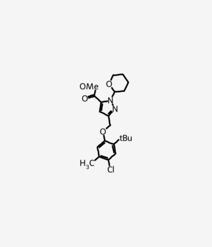 COC(=O)c1cc(COc2cc(C)c(Cl)cc2C(C)(C)C)nn1C1CCCCO1